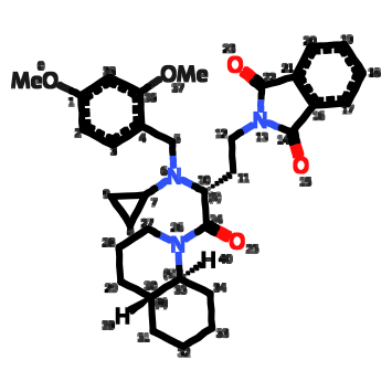 COc1ccc(CN(C2CC2)[C@H](CCN2C(=O)c3ccccc3C2=O)C(=O)N2CCC[C@H]3CCCC[C@@H]32)c(OC)c1